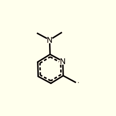 [CH2]c1cccc(N(C)C)n1